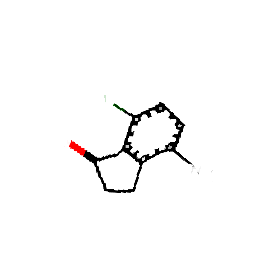 O=C1CCc2c([N+](=O)[O-])ccc(F)c21